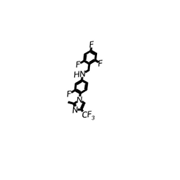 Cc1nc(C(F)(F)F)cn1-c1ccc(NCc2c(F)cc(F)cc2F)cc1F